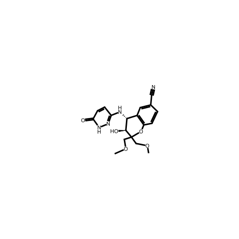 COCC1(COC)Oc2ccc(C#N)cc2[C@@H](Nc2ccc(=O)[nH]n2)[C@@H]1O